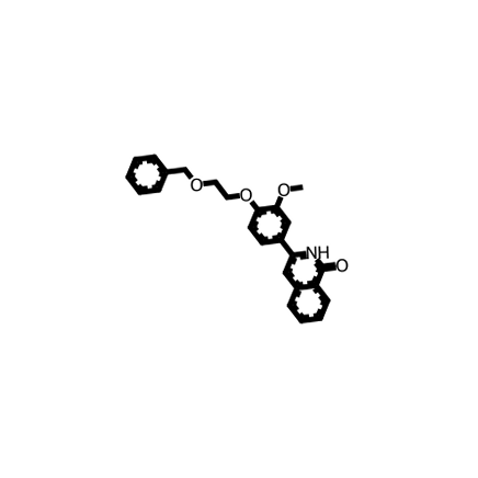 COc1cc(-c2cc3ccccc3c(=O)[nH]2)ccc1OCCOCc1ccccc1